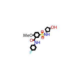 COc1ccc(S(=O)(=O)N[C@@H]2CC[C@H](O)C2)cc1C(=O)Nc1ccc(F)cc1